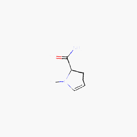 CC(=O)N1C=CCC1C(N)=O